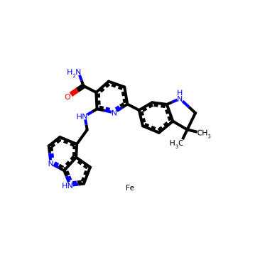 CC1(C)CNc2cc(-c3ccc(C(N)=O)c(NCc4ccnc5[nH]ccc45)n3)ccc21.[Fe]